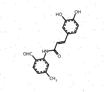 Cc1ccc(C=O)c(NC(=O)/C=C/c2ccc(O)c(O)c2)c1